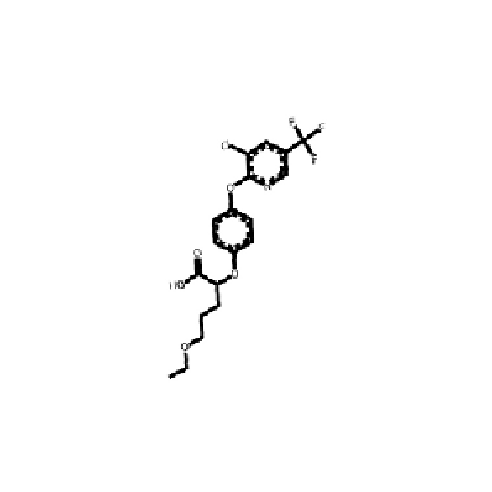 CCOCCCC(Oc1ccc(Oc2ncc(C(F)(F)F)cc2Cl)cc1)C(=O)O